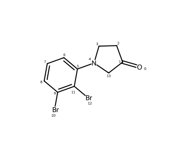 O=C1CCN(c2cccc(Br)c2Br)C1